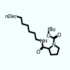 CCCCCCCCCCCCCCCCNC(=O)C1CCCN1C(=O)OC(C)(C)C